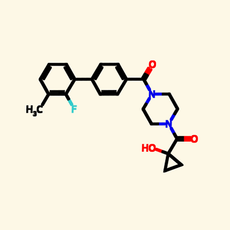 Cc1cccc(-c2ccc(C(=O)N3CCN(C(=O)C4(O)CC4)CC3)cc2)c1F